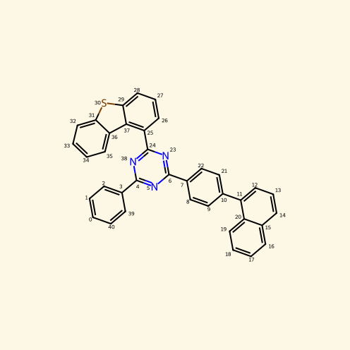 c1ccc(-c2nc(-c3ccc(-c4cccc5ccccc45)cc3)nc(-c3cccc4sc5ccccc5c34)n2)cc1